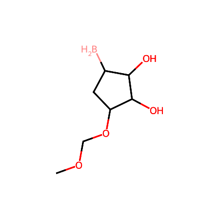 BC1CC(OCOC)C(O)C1O